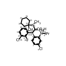 CC(C)N(C)c1cc(Cl)ccc1[C@@H](c1cccc(Cl)c1F)[C@H](C(=O)O)N(C)C1(C)CCCCC1